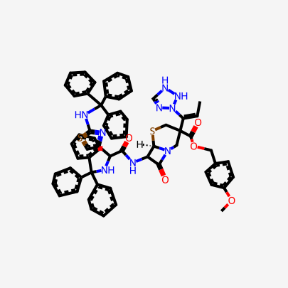 CC=C(N1N=CNN1)C1(C(=O)OCc2ccc(OC)cc2)CS[C@@H]2C(NC(=O)C(NC(c3ccccc3)(c3ccccc3)c3ccccc3)c3csc(NC(c4ccccc4)(c4ccccc4)c4ccccc4)n3)C(=O)N2C1